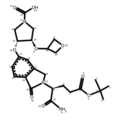 CC(C)(C)OC(=O)CC[C@@H](C(N)=O)N1Cc2cc(O[C@@H]3CN(C(=O)O)C[C@H]3OC3COC3)ccc2C1=O